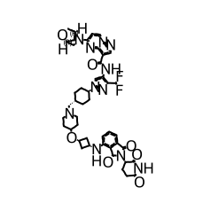 O=C1CCC(N2C(=O)c3cccc(N[C@H]4C[C@H](OC5CCN(C[C@H]6CC[C@H](n7cc(NC(=O)c8cnn9ccc(N%10C[C@H]%11C[C@@H]%10CO%11)nc89)c(C(F)F)n7)CC6)CC5)C4)c3C2=O)C(=O)N1